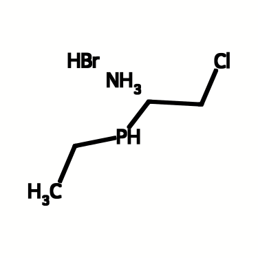 Br.CCPCCCl.N